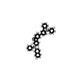 c1ccc(N(c2ccc3ccccc3c2)c2ccc3c(c2)oc2ccc(-c4ccc5c(c4)c4ccccc4n5-c4ccccc4)cc23)cc1